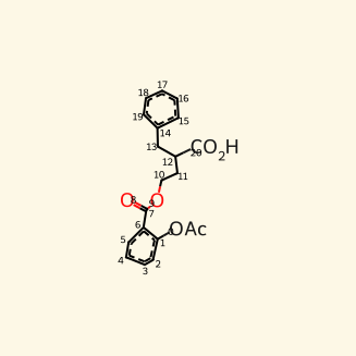 CC(=O)Oc1ccccc1C(=O)OCCC(Cc1ccccc1)C(=O)O